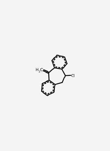 C=C1c2ccccc2CC(Cl)c2ccccc21